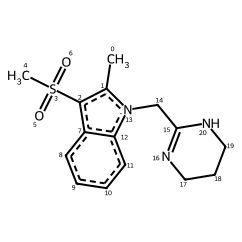 Cc1c(S(C)(=O)=O)c2ccccc2n1CC1=NCCCN1